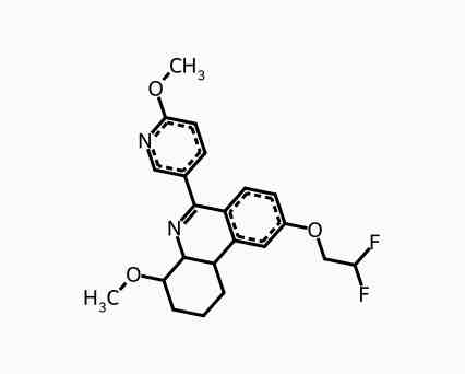 COc1ccc(C2=NC3C(OC)CCCC3c3cc(OCC(F)F)ccc32)cn1